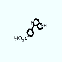 O=C(O)c1ccc(-c2nccc3[nH]ccc23)cc1